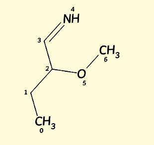 CCC(C=N)OC